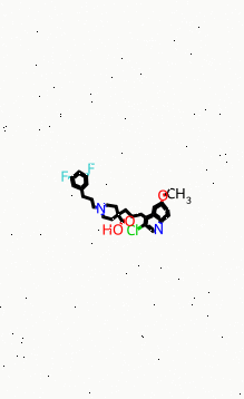 COc1ccc2ncc(Cl)c(CCCC3(C(=O)O)CCN(CCCc4cc(F)cc(F)c4)CC3)c2c1